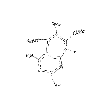 COc1c(OC)c(NC(C)=O)c2c(N)nc(C(C)(C)C)nc2c1F